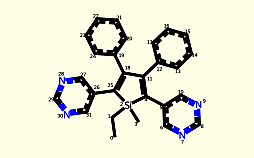 CC[Si]1(C)C(c2cncnc2)=C(c2ccccc2)C(c2ccccc2)=C1c1cncnc1